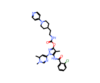 Cc1c(OC(=O)NCCC2CCN(c3ccncc3)CC2)nn(C2=CC(C)N(C)C=N2)c1NC(=O)c1ccccc1Cl